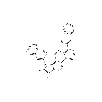 Cc1c(C)n(-c2ccc3ccccc3c2)c2c1ccc1c3cccc(-c4ccc5ccccc5c4)c3ccc12